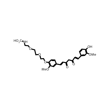 COc1cc(/C=C/C(=O)CC(=O)/C=C/c2ccc(OCCOCCOCCNC(=O)O)c(OC)c2)ccc1O